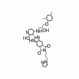 Cc1ccc(OCC(O)CNc2ccnc(O)c2-c2nc3cc4c(cc3[nH]2)C(=O)N(CCCn2cccn2)C4=O)c(C)c1